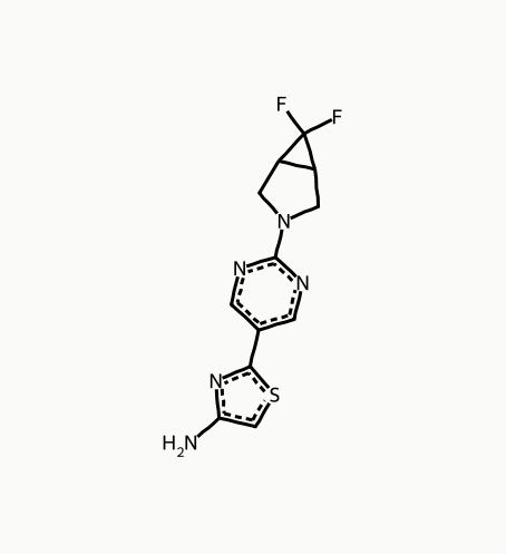 Nc1csc(-c2cnc(N3CC4C(C3)C4(F)F)nc2)n1